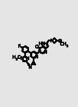 COC1CN(Cc2cc3ncn(-c4cc(-c5ccc(F)cc5-c5nc(C#N)cn5C)cc(C5CC5)n4)c(=O)c3[nH]2)C1